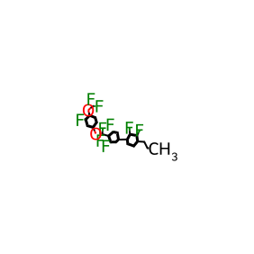 CCCc1ccc(-c2cc(F)c(C(F)(F)Oc3ccc(OC(F)F)c(F)c3)c(F)c2)c(F)c1F